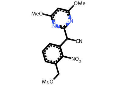 COCc1cccc(C(C#N)c2nc(OC)cc(OC)n2)c1[N+](=O)[O-]